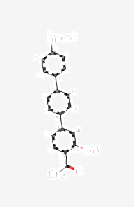 CCCCCc1ccc(-c2ccc(-c3ccc(C(=O)CC)c(O)c3)cc2)cc1